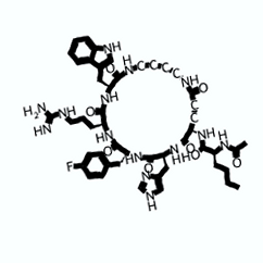 CCCC[C@H](NC(C)=O)C(O)N[C@H]1CCC(=O)NCCCCNC(=O)[C@H](Cc2c[nH]c3ccccc23)NC(=O)[C@H](CCCNC(=N)N)NC(=O)[C@@H](Cc2ccc(F)cc2)NC(=O)[C@H](Cc2c[nH]cn2)NC1=O